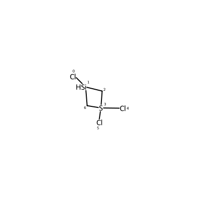 Cl[SiH]1CS(Cl)(Cl)C1